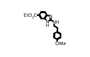 CCOC(=O)c1ccc2nc(NCCc3ccc(OC)cc3)[nH]c2c1